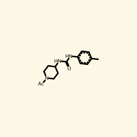 CC(=O)N1CCC(NC(=O)Nc2ccc(C)cc2)CC1